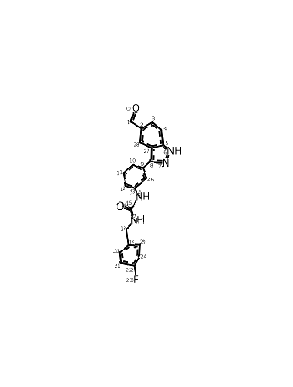 O=Cc1ccc2[nH]nc(-c3cccc(NC(=O)NCc4ccc(F)cc4)c3)c2c1